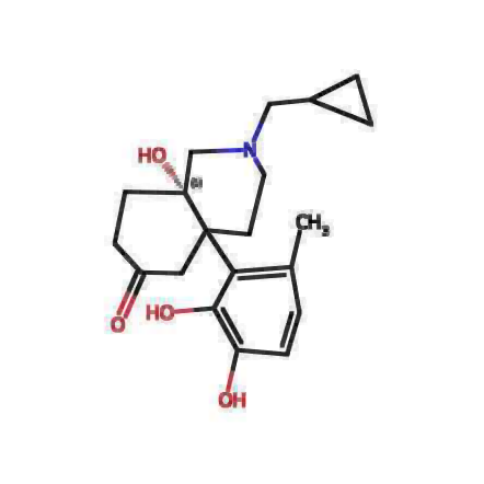 Cc1ccc(O)c(O)c1C12CCN(CC3CC3)C[C@]1(O)CCC(=O)C2